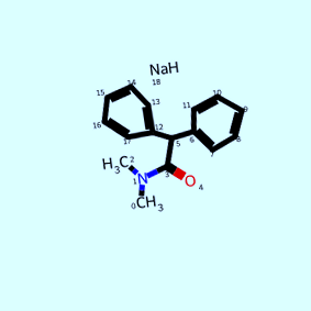 CN(C)C(=O)C(c1ccccc1)c1ccccc1.[NaH]